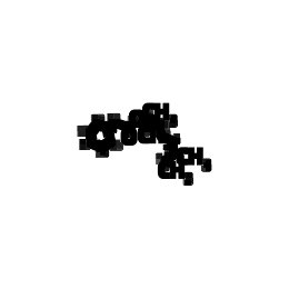 CCC(C)CCCC(C)(C)OC(=O)Cc1ccccc1